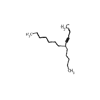 [CH2]CC#CC(CCCCC)CCCCCCC